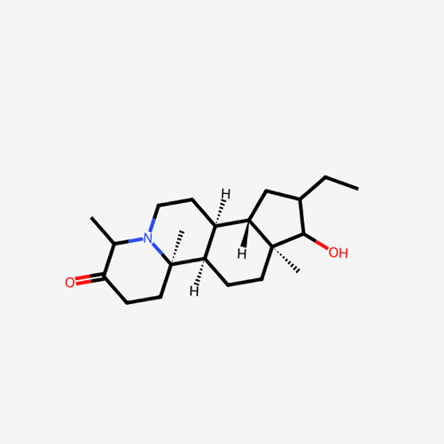 CCC1C[C@H]2[C@@H]3CCN4C(C)C(=O)CC[C@]4(C)[C@@H]3CC[C@]2(C)C1O